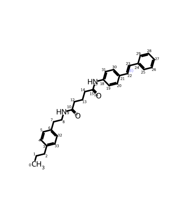 CCCc1ccc(CCNC(=O)CCCC(=O)Nc2ccc(/C=C/c3ccccc3)cc2)cc1